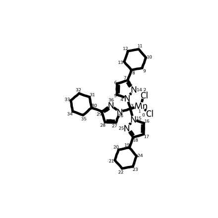 [Cl][Mn]([Cl])[C](n1ccc(C2CCCCC2)n1)(n1ccc(C2CCCCC2)n1)n1ccc(C2CCCCC2)n1